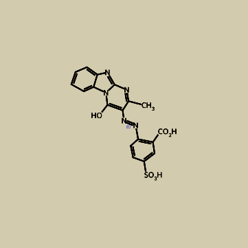 Cc1nc2nc3ccccc3n2c(O)c1/N=N/c1ccc(S(=O)(=O)O)cc1C(=O)O